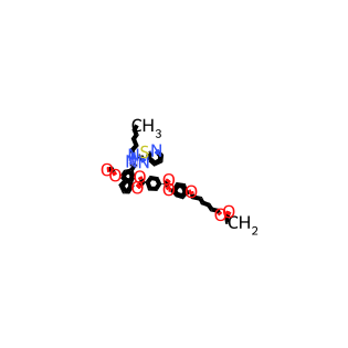 C=CC(=O)OCCCCCCOc1ccc(OC(=O)[C@H]2CC[C@H](C(=O)Oc3c(/C=N/N(CCCCCC)c4nc5cccnc5s4)cc(OC=O)c4ccccc34)CC2)cc1